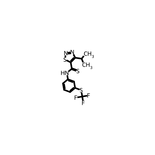 CC(C)c1nnsc1C(=S)Nc1cccc(SC(F)(F)F)c1